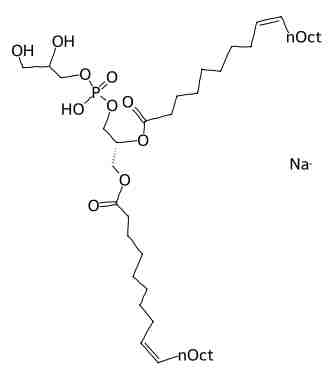 CCCCCCCC/C=C\CCCCCCCC(=O)OC[C@H](COP(=O)(O)OCC(O)CO)OC(=O)CCCCCCC/C=C\CCCCCCCC.[Na]